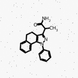 CC(C(N)=O)c1nn(-c2ccccc2)c2c1CCc1ccccc1-2